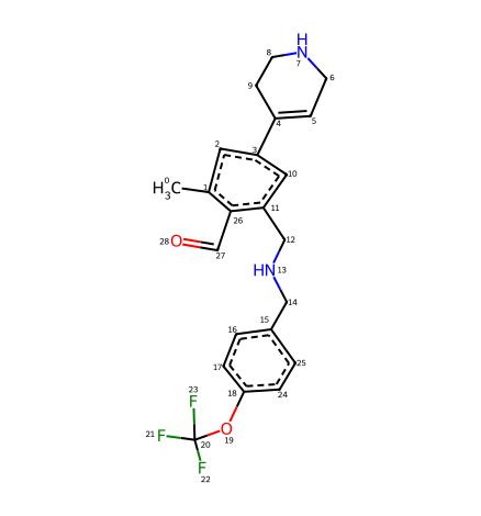 Cc1cc(C2=CCNCC2)cc(CNCc2ccc(OC(F)(F)F)cc2)c1C=O